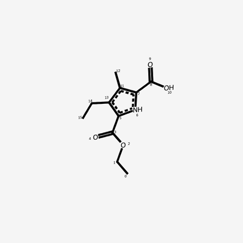 CCOC(=O)c1[nH]c(C(=O)O)c(C)c1CC